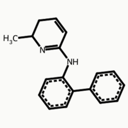 CC1CC=CC(Nc2ccccc2-c2ccccc2)=N1